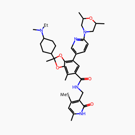 CCN(C)C1CCC(C2(C)Oc3c(-c4ccc(N5CC(C)OC(C)C5)nc4)cc(C(=O)NCc4c(SC)cc(C)[nH]c4=O)c(C)c3O2)CC1